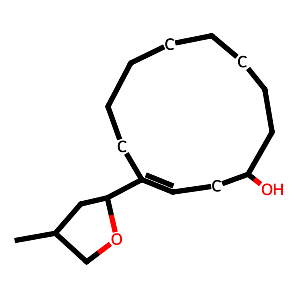 CC1COC(C2=CCC(O)CCCCCCCC2)C1